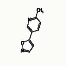 Cc1ccc(-c2ccno2)cn1